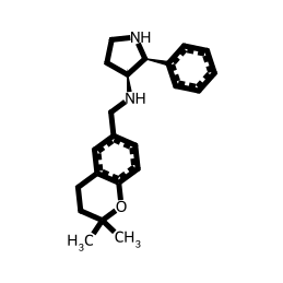 CC1(C)CCc2cc(CN[C@H]3CCN[C@H]3c3ccccc3)ccc2O1